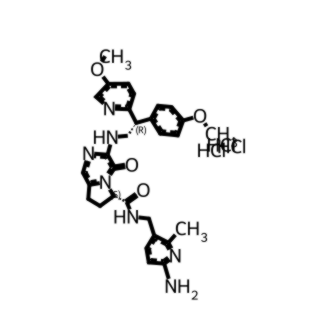 COc1ccc([C@H](CNc2ncc3n(c2=O)[C@H](C(=O)NCc2ccc(N)nc2C)CC3)c2ccc(OC)cn2)cc1.Cl.Cl.Cl